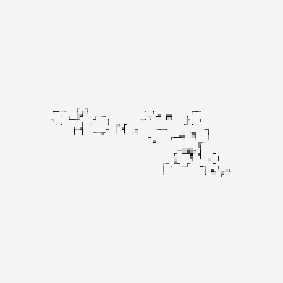 COCC1(CN2CCC([C@@](CN3CCC3)(c3cccc(F)c3)[C@H]3CCC[C@@H]3NC(=O)OC)CC2)CN(c2ccc(S(=O)(=O)C3COC3)cc2)C1